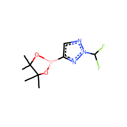 CC1(C)OB(c2cnn(C(F)F)n2)OC1(C)C